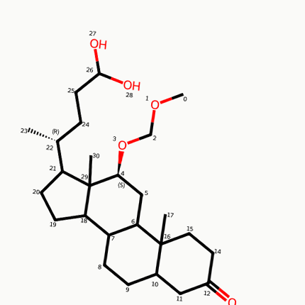 COCO[C@H]1CC2C(CCC3CC(=O)CCC32C)C2CCC([C@H](C)CCC(O)O)C21C